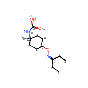 CCC(CC)=NOC1CCC(C)(NC(=O)O)CC1